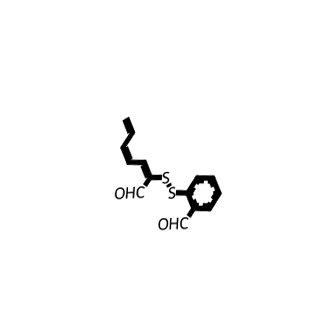 C=C/C=C\C=C(/C=O)SSc1ccccc1C=O